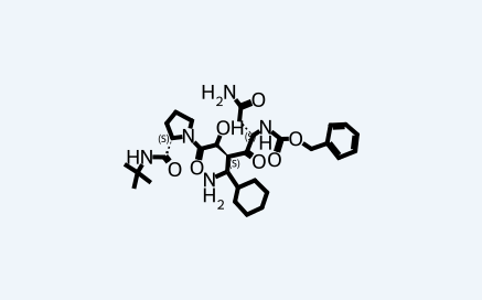 CC(C)(C)NC(=O)[C@@H]1CCCN1C(=O)C(O)[C@@H](C(=O)[C@H](CC(N)=O)NC(=O)OCc1ccccc1)C(N)C1CCCCC1